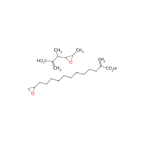 C=C(C(=O)O)C(C)C1OC1C.C=C(CCCCCCCCCCC1CO1)C(=O)O